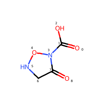 O=C(O)N1ONCC1=O